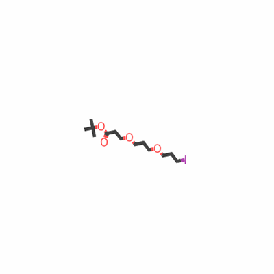 CC(C)(C)OC(=O)CCOCCCOCCCI